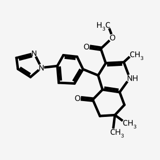 COC(=O)C1=C(C)NC2=C(C(=O)CC(C)(C)C2)C1c1ccc(-n2cccn2)cc1